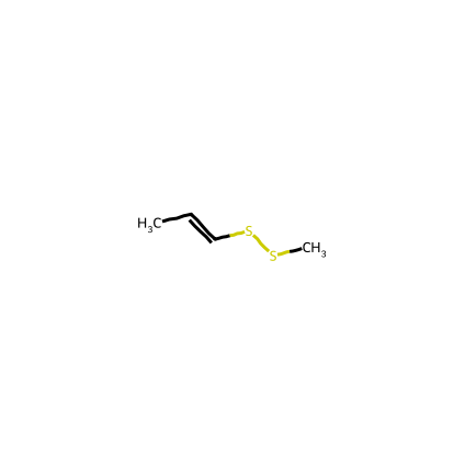 C/C=C/SSC